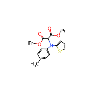 Cc1ccc(N(c2cccs2)C(C(=O)OC(C)C)C(=O)OC(C)C)cc1